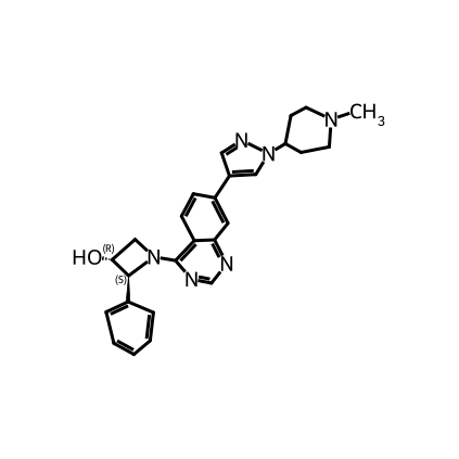 CN1CCC(n2cc(-c3ccc4c(N5C[C@@H](O)[C@@H]5c5ccccc5)ncnc4c3)cn2)CC1